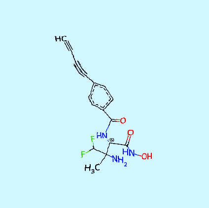 C#CC#Cc1ccc(C(=O)N[C@H](C(=O)NO)C(C)(N)C(F)F)cc1